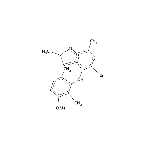 COc1ccc(C)c(Nc2c(Br)cc(C)c3c2=CC(C)N=3)c1C